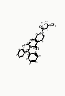 O=C(CC(C(F)(F)F)C(F)(F)F)N1CCc2c(nc(F)n(C(c3ccccc3)c3ccccc3)c2=O)C1